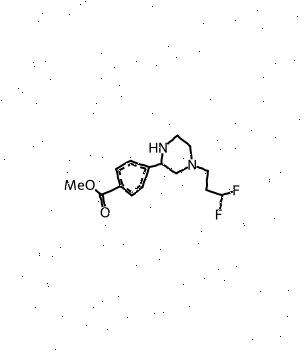 COC(=O)c1ccc(C2CN(CCC(F)F)CCN2)cc1